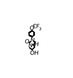 O=C1N(c2ccc(OC(F)(F)F)cc2)C[C@@H]2C[C@H](O)CN12